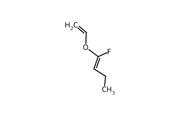 C=COC(F)=CCC